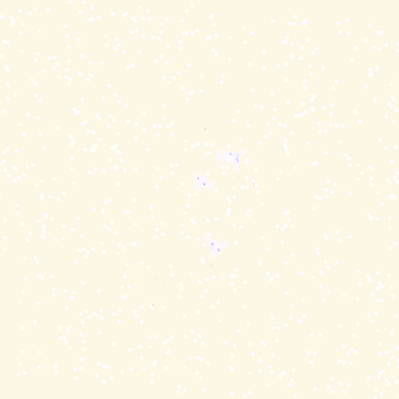 O=C(NCc1ccccc1C(F)(F)F)c1cc(CN(Cc2ccc(Cl)cc2)C(=O)c2ccc3c(c2)OCO3)on1